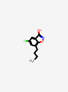 CCCCc1cc(Cl)cc2c(O)noc12